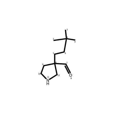 CC(C)(C)CCC1(C=O)CCNC1